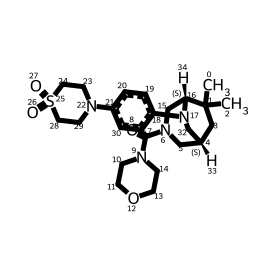 CC1(C)C[C@@H]2CN(C(=O)N3CCOCC3)C[C@H]1N(c1ccc(N3CCS(=O)(=O)CC3)cc1)C2